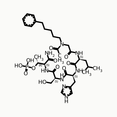 CC(=O)N(CCCCCc1ccccc1)CC(=O)N[C@@H](CC(C)C)C(=O)N[C@@H](Cc1c[nH]cn1)C(=O)N[C@@H](CO)C(=O)N[C@H](C(N)=O)[C@@H](C)OP(=O)(O)O